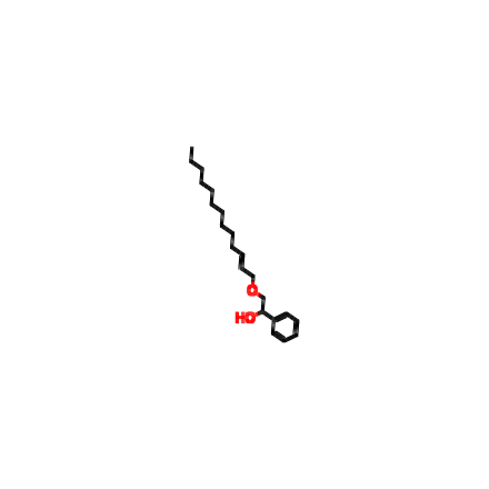 CCCCCCCCCCC=CCOCC(O)c1ccccc1